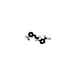 O=C(C=Cc1cccc([N+](=O)[O-])c1)Nc1cccc(C(=O)O)c1